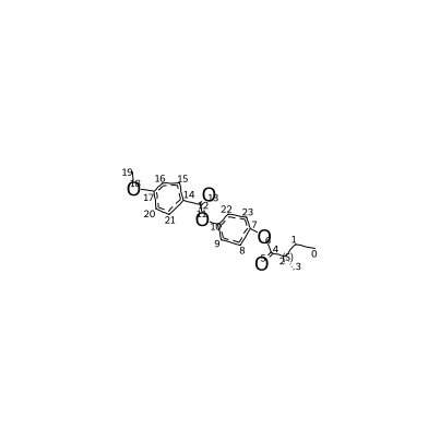 CC[C@H](C)C(=O)Oc1ccc(OC(=O)c2ccc(OC)cc2)cc1